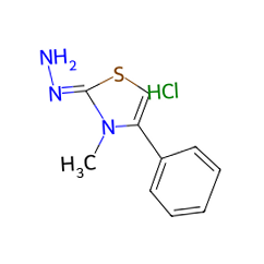 Cl.Cn1c(-c2ccccc2)csc1=NN